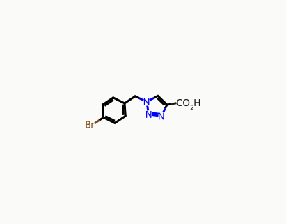 O=C(O)c1cn(Cc2ccc(Br)cc2)nn1